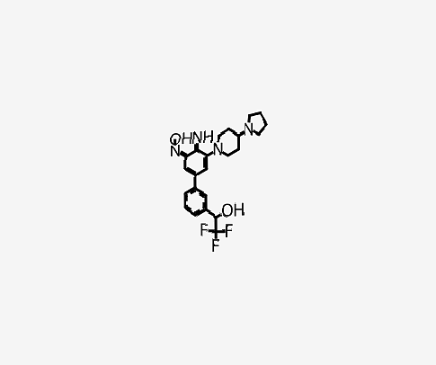 N=C1C(N2CCC(N3CCCC3)CC2)=CC(c2cccc(C(O)C(F)(F)F)c2)=C/C1=N/O